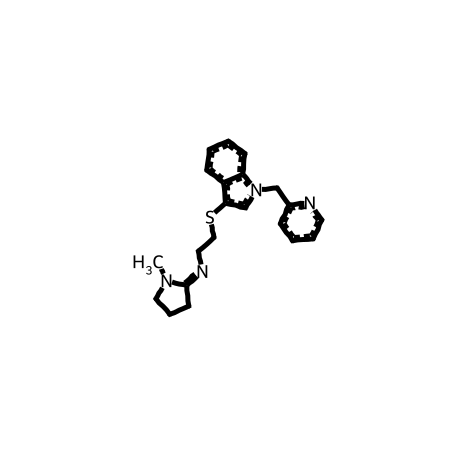 CN1CCCC1=NCCSc1cn(Cc2ccccn2)c2ccccc12